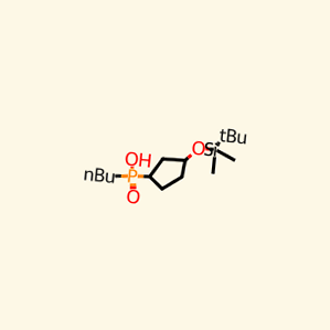 CCCCP(=O)(O)C1CCC(O[Si](C)(C)C(C)(C)C)C1